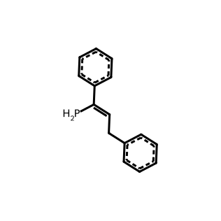 PC(=CCc1ccccc1)c1ccccc1